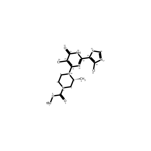 C[C@@H]1CN(C(=O)OC(C)(C)C)CCN1c1nc(-c2scnc2Cl)[nH]c(=O)c1Cl